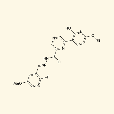 CCOc1ccc(-c2cncc(C(=O)N/N=C/c3cc(OC)cnc3F)n2)c(O)n1